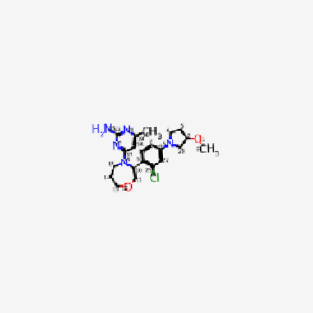 COC1CCN(c2ccc([C@H]3COCCCN3c3cc(C)nc(N)n3)c(Cl)c2)C1